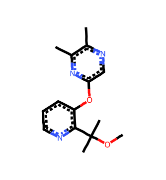 COC(C)(C)c1ncccc1Oc1cnc(C)c(C)n1